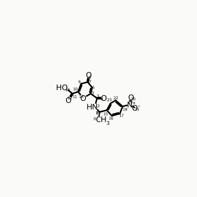 C[C@@H](NC(=O)c1cc(=O)cc(C(=O)O)o1)c1ccc([N+](=O)[O-])cc1